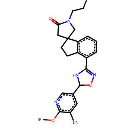 CC(C)Oc1ncc(C2NC(c3cccc4c3CCC43CC(=O)N(CCC=O)C3)=NO2)cc1C#N